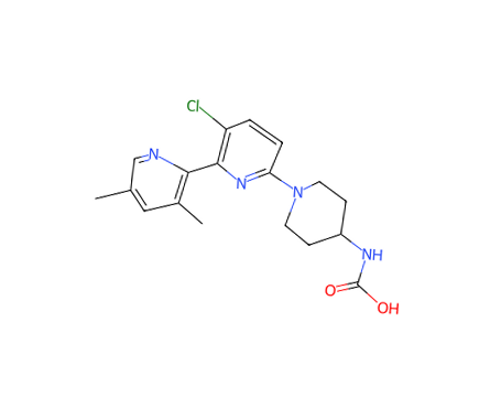 Cc1cnc(-c2nc(N3CCC(NC(=O)O)CC3)ccc2Cl)c(C)c1